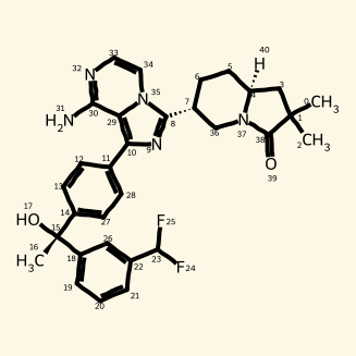 CC1(C)C[C@@H]2CC[C@@H](c3nc(-c4ccc([C@@](C)(O)c5cccc(C(F)F)c5)cc4)c4c(N)nccn34)CN2C1=O